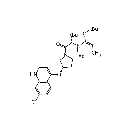 C/C=C(\N[C@H](C(=O)N1C[C@H](OC2=CCNc3cc(Cl)ccc32)C[C@H]1C(C)=O)C(C)(C)C)OC(C)(C)C